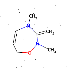 C=C1N(C)C=CCON1C